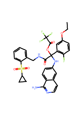 CCOc1ccc(F)c(C(Nc2ccc3c(N)nccc3c2)(OC(=O)C(F)(F)F)C(=O)NCc2ccccc2S(=O)(=O)C2CC2)c1